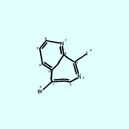 Brc1cnc(I)c2ncccc12